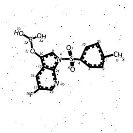 Cc1ccc(S(=O)(=O)n2cc(OB(O)O)c3cc(F)cnc32)cc1